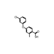 Cc1cc(Oc2cccc(Cl)c2)ccc1C(=O)S